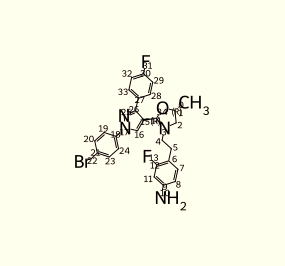 C[C@@H]1CN(CCc2ccc(N)cc2F)[C@@H](c2cn(-c3ccc(Br)cc3)nc2-c2ccc(F)cc2)O1